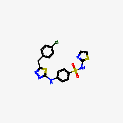 O=S(=O)(Nc1nccs1)c1ccc(Nc2nnc(Cc3ccc(Cl)cc3)s2)cc1